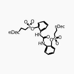 CCCCCCCCCCCCS(=O)(=O)Oc1ccccc1NC(=O)Nc1ccccc1OS(=O)(=O)CCCCCCCCCCCC